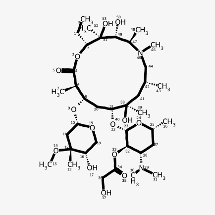 CC[C@H]1OC(=O)[C@H](C)[C@@H](O[C@H]2C[C@@](C)(OC)[C@@H](O)CO2)C[C@@H](O[C@@H]2O[C@H](C)C[C@H](N(C)C)[C@H]2OC(=O)CO)[C@](C)(O)C[C@@H](C)CN(C)[C@H](C)[C@@H](O)[C@]1(C)O